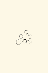 CNc1nc(N2CCCCCCC2)ccc1C(=N)C(=N)OC(=N)C1CCCCN1CC1CCCCC1